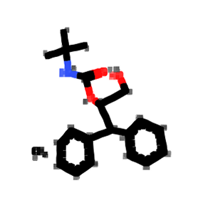 C.CC(C)(C)NC(=O)OC(CO)C(c1ccccc1)c1ccccc1